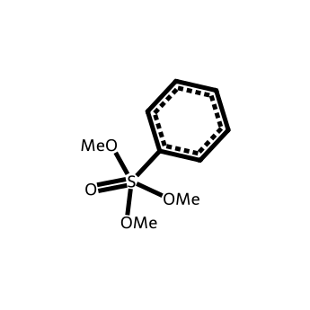 COS(=O)(OC)(OC)c1ccccc1